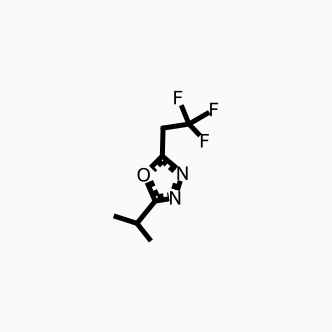 CC(C)c1nnc(CC(F)(F)F)o1